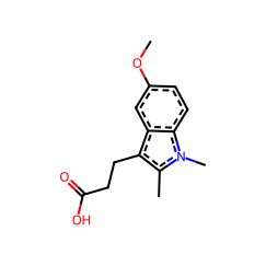 COc1ccc2c(c1)c(CCC(=O)O)c(C)n2C